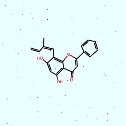 C=CC(C)=Cc1c(O)cc(O)c2c(=O)cc(-c3ccccc3)oc12